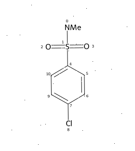 CNS(=O)(=O)c1c[c]c(Cl)cc1